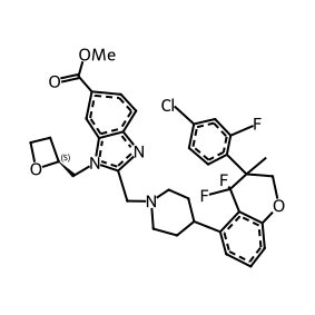 COC(=O)c1ccc2nc(CN3CCC(c4cccc5c4C(F)(F)C(C)(c4ccc(Cl)cc4F)CO5)CC3)n(C[C@@H]3CCO3)c2c1